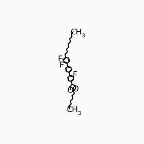 CCCCCCCCCCc1ccc(-c2ccc(-c3ccc(C4COC(CCCCCCC)OC4)cc3F)cc2)c(F)c1F